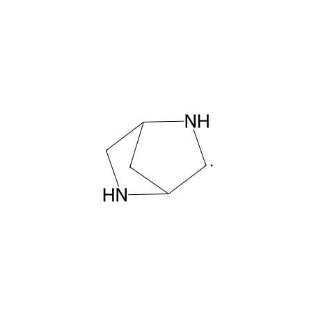 [CH]1NC2CNC1C2